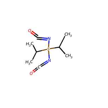 CC(C)S(N=C=O)(N=C=O)C(C)C